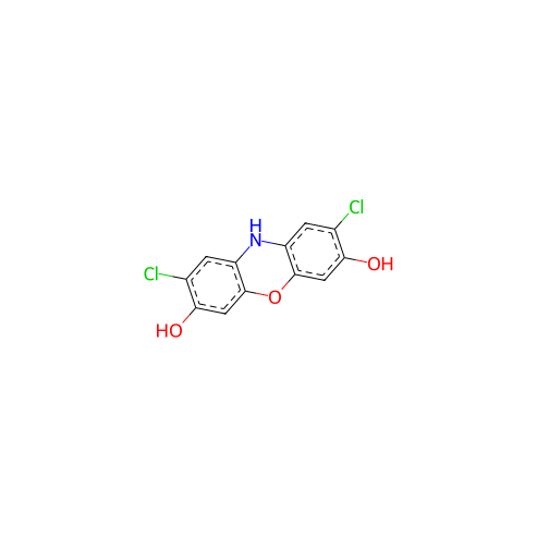 Oc1cc2c(cc1Cl)Nc1cc(Cl)c(O)cc1O2